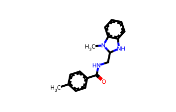 Cc1ccc(C(=O)NCC2Nc3ccccc3N2C)cc1